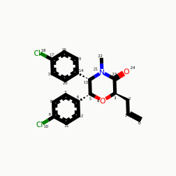 C=CC[C@H]1O[C@H](c2ccc(Cl)cc2)[C@H](c2ccc(Cl)cc2)N(C)C1=O